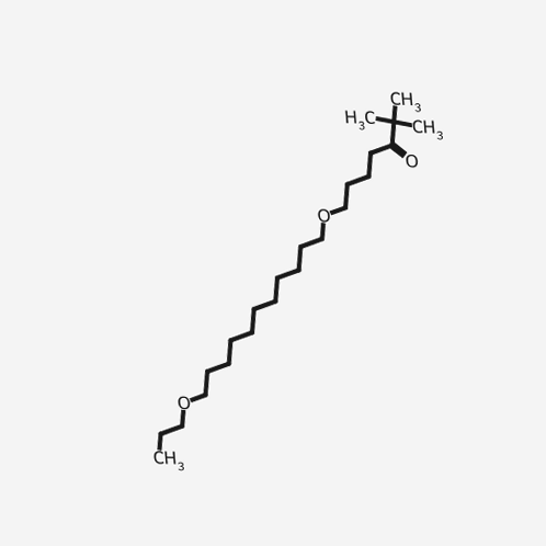 CCCOCCCCCCCCCCCOCCCCC(=O)C(C)(C)C